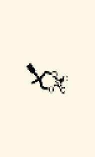 C#CC1(C)COS(=O)(=O)OC1